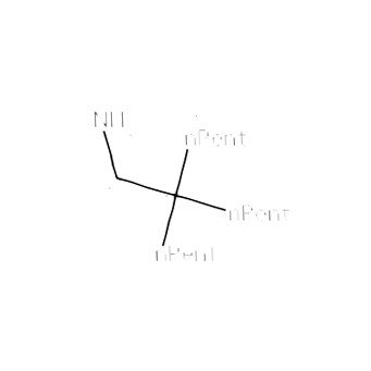 CCCCCC(CN)(CCCCC)CCCCC